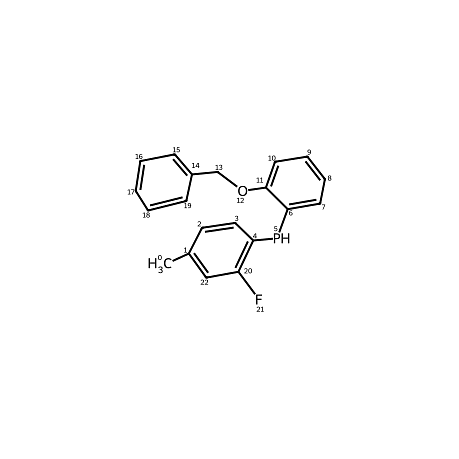 Cc1ccc(Pc2ccccc2OCc2ccccc2)c(F)c1